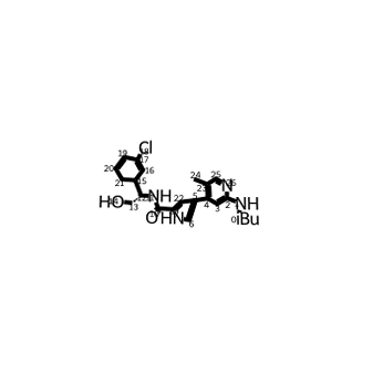 CCC(C)Nc1cc(-c2c[nH]c(C(=O)N[C@H](CO)C3C=C(Cl)C=CC3)c2)c(C)cn1